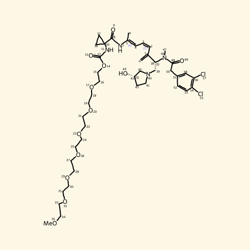 C=C(/C=C\C=C(/C)NC(=O)C1(NC(=O)OCCOCCOCCOCCOCCOCCOCCOC)CC1)[C@@H](CN1CC[C@H](O)C1)N(C)C(=O)Cc1ccc(Cl)c(Cl)c1